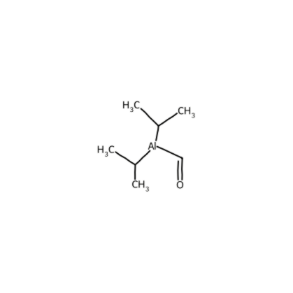 C[CH](C)[Al]([CH]=O)[CH](C)C